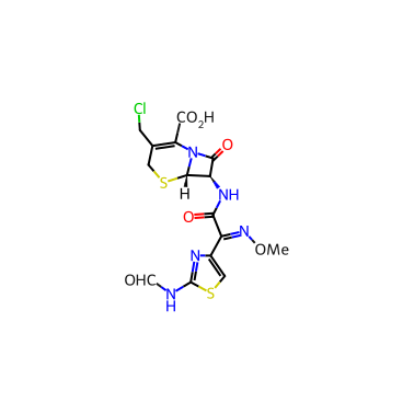 CON=C(C(=O)N[C@@H]1C(=O)N2C(C(=O)O)=C(CCl)CS[C@@H]12)c1csc(NC=O)n1